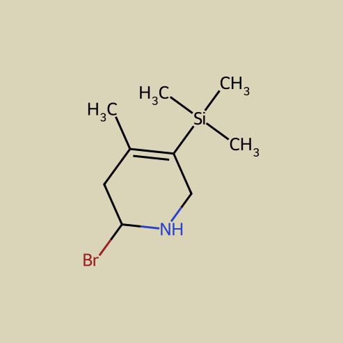 CC1=C([Si](C)(C)C)CNC(Br)C1